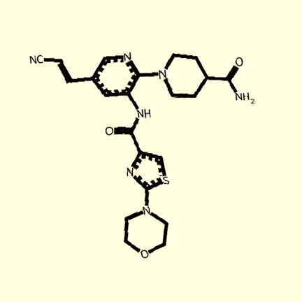 N#C/C=C/c1cnc(N2CCC(C(N)=O)CC2)c(NC(=O)c2csc(N3CCOCC3)n2)c1